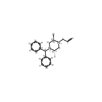 C=CCN1C[C@H](C)N(C(c2ccccc2)c2ccccc2)C[C@H]1C